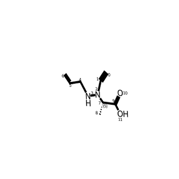 C#CN(NCC=C)[C@@H](C)C(=O)O